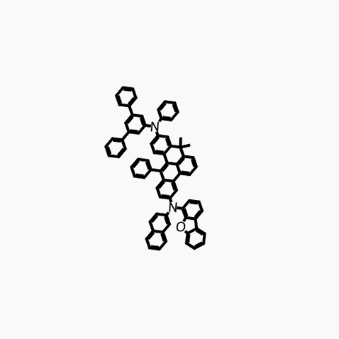 CC1(C)c2cc(N(c3ccccc3)c3cc(-c4ccccc4)cc(-c4ccccc4)c3)ccc2-c2c(-c3ccccc3)c3ccc(N(c4ccc5ccccc5c4)c4cccc5c4oc4ccccc45)cc3c3cccc1c23